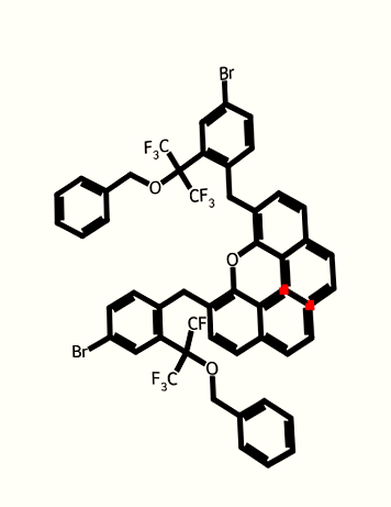 FC(F)(F)C(OCc1ccccc1)(c1cc(Br)ccc1Cc1ccc2ccccc2c1Oc1c(Cc2ccc(Br)cc2C(OCc2ccccc2)(C(F)(F)F)C(F)(F)F)ccc2ccccc12)C(F)(F)F